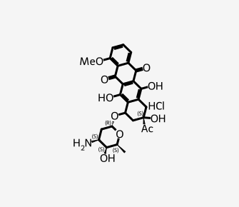 COc1cccc2c1C(=O)c1c(O)c3c(c(O)c1C2=O)C[C@@](O)(C(C)=O)CC3O[C@H]1C[C@H](N)[C@H](O)[C@H](C)O1.Cl